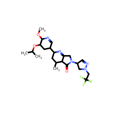 COC1N=CC(C2CC(C)C3C(=O)N(C4C=NN(CC(F)(F)F)C4)CC3=N2)CC1OC(C)C